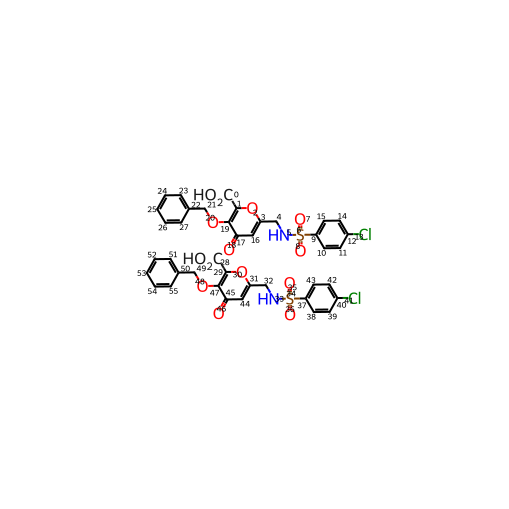 O=C(O)c1oc(CNS(=O)(=O)c2ccc(Cl)cc2)cc(=O)c1OCc1ccccc1.O=C(O)c1oc(CNS(=O)(=O)c2ccc(Cl)cc2)cc(=O)c1OCc1ccccc1